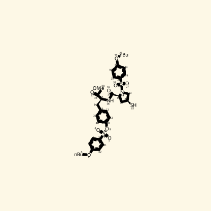 CCCCOc1ccc(S(=O)(=O)Oc2ccc(C[C@H](NC(=O)[C@@H]3C[C@H](S)CN3S(=O)(=O)c3ccc(OCCCC)cc3)C(=O)OC)cc2)cc1